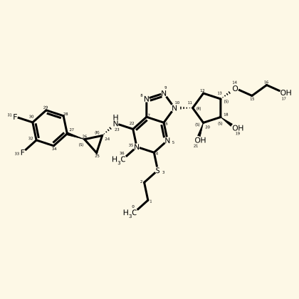 CCCSC1N=c2c(nnn2[C@@H]2C[C@H](OCCO)[C@@H](O)[C@H]2O)=C(N[C@@H]2C[C@H]2c2ccc(F)c(F)c2)N1C